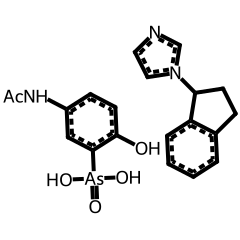 CC(=O)Nc1ccc(O)c([As](=O)(O)O)c1.c1ccc2c(c1)CCC2n1ccnc1